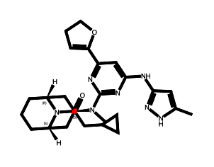 Cc1cc(Nc2cc(C3=CCCO3)nc(N(C)[C@@H]3C[C@H]4CCC[C@@H](C3)N4C(=O)CC3CC3)n2)n[nH]1